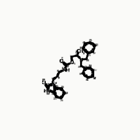 CC(COC(=O)NCCCn1c(=O)[nH]c2ccccc21)N(Cc1ccccc1)Cc1ccccc1